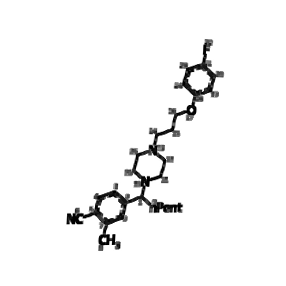 CCCCCC(c1ccc(C#N)c(C)c1)N1CCN(CCCOc2ccc(F)cc2)CC1